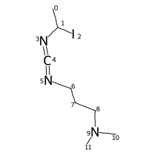 CC(I)N=C=NCCCN(C)C